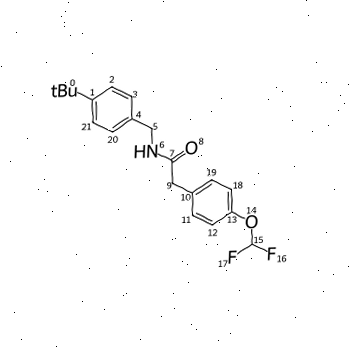 CC(C)(C)c1ccc(CNC(=O)Cc2ccc(OC(F)F)cc2)cc1